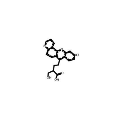 Cl.O=C(O)C(CO)CCc1c2ccccc2nc2c1ccc1ncccc12